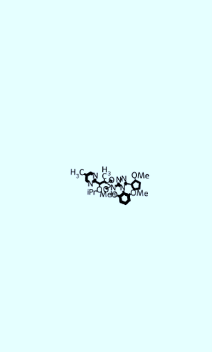 COc1cccc(OC)c1-n1c(NS(=O)(=O)[C@@H](C)[C@@H](OC(C)C)c2ncc(C)cn2)nnc1[C@@H]1CCC[C@H]1OC